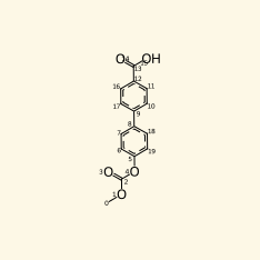 COC(=O)Oc1ccc(-c2ccc(C(=O)O)cc2)cc1